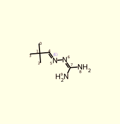 CC(C)(C)/C=N/N=C(N)N